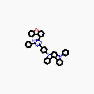 C1=Cc2c(n(-c3ccccc3)c3ccc4c(c5ccccc5n4-c4ccc(C5=NC(c6cccc7oc8ccccc8c67)NC(c6ccccc6)=N5)cc4)c23)CC1